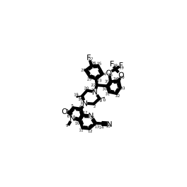 C[C@@H]1CN(c2cc(=O)n(C)c3ccc(C#N)nc23)[C@@H](C)CN1C(c1ccc(F)cc1)c1cccc2c1OC(F)(F)O2